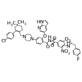 CC1(C)CCC(CN2CCN(c3ccc(C(=O)NS(=O)(=O)c4cc5c(c([N+](=O)[O-])c4)NC(Cc4ccc(F)cc4)CO5)c(Oc4cnc5[nH]ccc5c4)c3)CC2)=C(c2ccc(Cl)cc2)C1